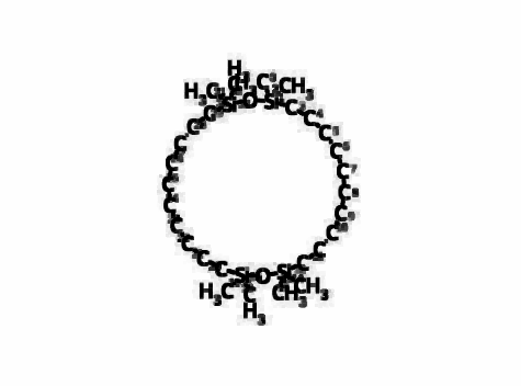 C[Si]1(C)CCCCCCCCCC[Si](C)(C)O[Si](C)(C)CCCCCCCCCC[Si](C)(C)O1